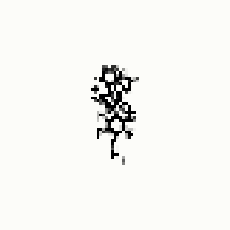 Cc1c(F)c(F)c(S(=O)(=O)OC(C2CCCC23OCCO3)C(F)(F)F)c(F)c1F